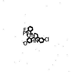 COc1ccc(C2c3[nH]c4ccc(Cl)cc4c3CCN2C(=O)c2ccccc2C(F)(F)F)cc1